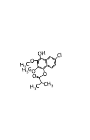 COc1c(OC)c(OC(=O)C(C)C)c2ccc(Cl)cc2c1O